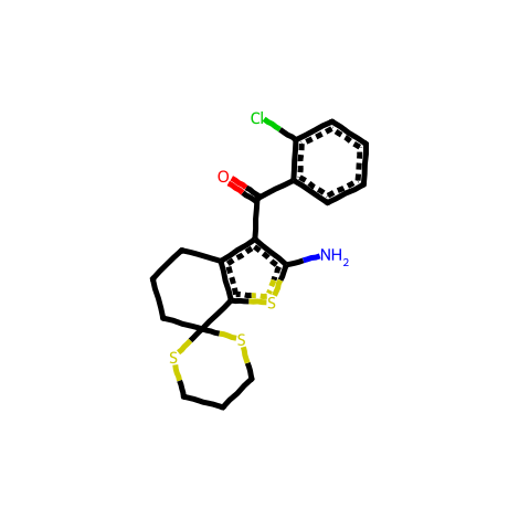 Nc1sc2c(c1C(=O)c1ccccc1Cl)CCCC21SCCCS1